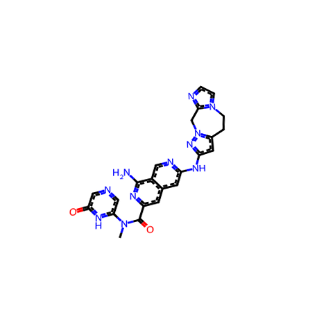 CN(C(=O)c1cc2cc(Nc3cc4n(n3)Cc3nccn3CC4)ncc2c(N)n1)c1cncc(=O)[nH]1